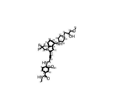 CNC(=O)c1ccc(NCC#Cc2cc3c(NC4CCN(CC(O)COC)CC4)cccc3n2CC(F)(F)F)c(OC)c1